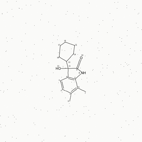 Cc1ccc2c(c1C)NC(=O)C2(O)C1CCCCC1